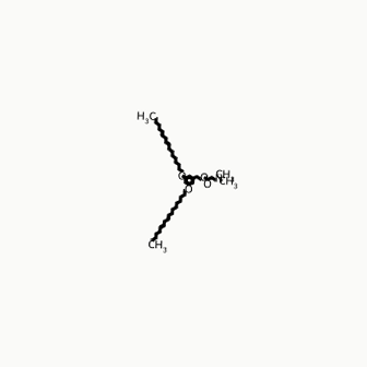 CCCCCC=CCC=CCCCCCCCCOc1cc(CCOC(=O)CCN(C)C)cc(OCCCCCCCCC=CCC=CCCCCC)c1